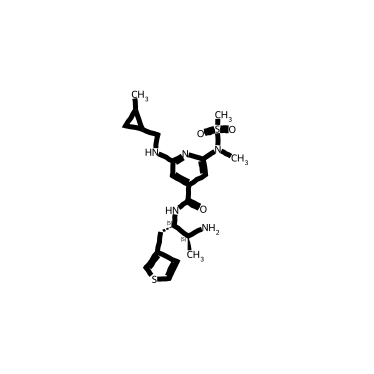 CC1CC1CNc1cc(C(=O)N[C@@H](Cc2ccsc2)[C@H](C)N)cc(N(C)S(C)(=O)=O)n1